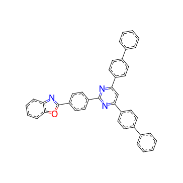 c1ccc(-c2ccc(-c3cc(-c4ccc(-c5ccccc5)cc4)nc(-c4ccc(-c5nc6ccccc6o5)cc4)n3)cc2)cc1